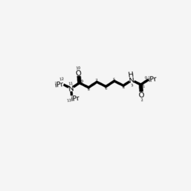 CC(C)C(=O)NCCCCCC(=O)N(C(C)C)C(C)C